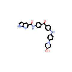 O=C(Nc1ccc(C(=O)c2ccc(Nc3ccc(N4CCC(O)CC4)cc3)cc2)cc1)c1cnc2[nH]ccc2c1